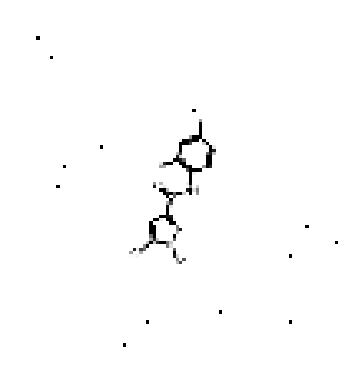 CC(=O)n1nc(C(=O)Nc2ccc(C)cc2F)cc1Cl